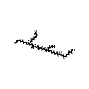 CC/C=C\CCCCOC(CCC(=O)OCCCCCCCN(CCO)CCCCCCCC(=O)OC/C=C\CCCCCC)OCCCC/C=C\CC